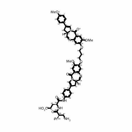 COc1ccc(C2=CN3C(=O)c4cc(OC)c(OCCCOc5cc6c(cc5OC)C(=O)N5C=C(c7ccc(NC(=O)[C@H](CCC(=O)O)NC(=O)[C@@H](CN)C(C)C)cc7)C[C@H]5C=N6)cc4N=C[C@@H]3C2)cc1